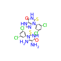 Nc1c(N)n(-c2cc(Cl)cc(Cl)c2)c(=S)[nH]c1=O.O=c1[nH]c(=S)n(-c2cc(Cl)cc(Cl)c2)c2nc[nH]c12